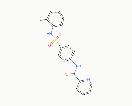 Cc1ccccc1NS(=O)(=O)c1ccc(NC(=O)c2ccccn2)cc1